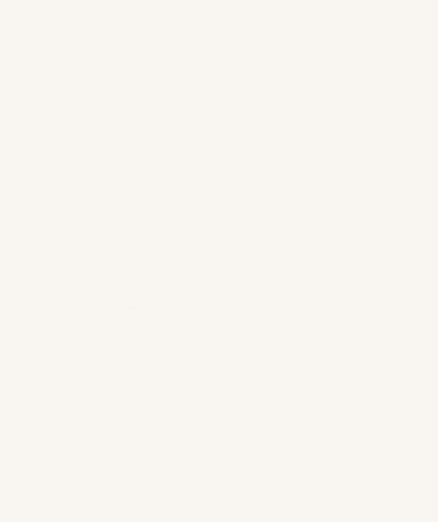 CC(CCC(=O)O)C1CCC2C1C(O)CC1C3CCC(O)CC3CC(O)C12